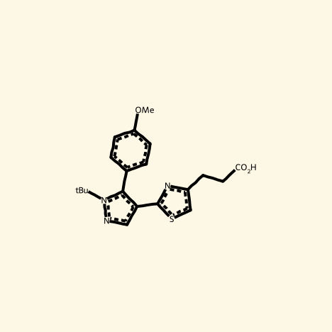 COc1ccc(-c2c(-c3nc(CCC(=O)O)cs3)cnn2C(C)(C)C)cc1